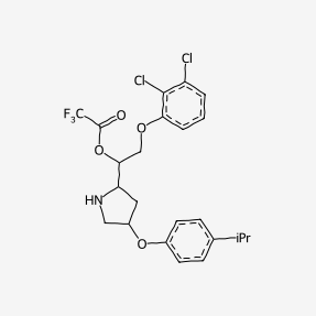 CC(C)c1ccc(OC2CNC(C(COc3cccc(Cl)c3Cl)OC(=O)C(F)(F)F)C2)cc1